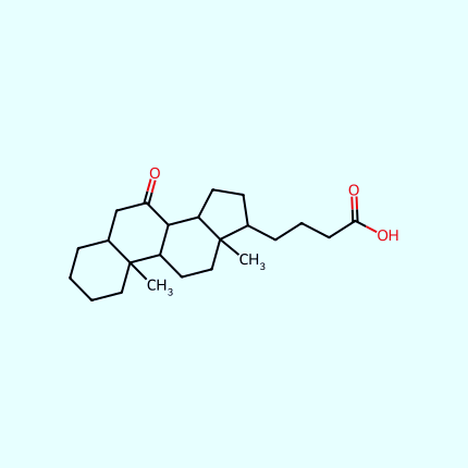 CC12CCC3C(C(=O)CC4CCCCC43C)C1CCC2CCCC(=O)O